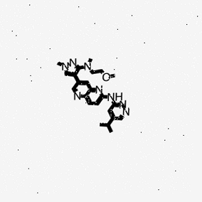 COCCN(C)c1nn(C)cc1-c1cnc2ccc(Nc3cc(C(C)C)cnn3)nc2c1